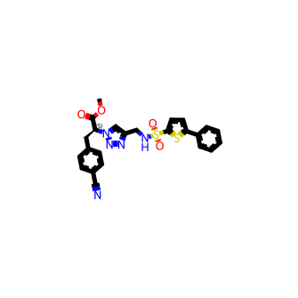 COC(=O)[C@H](Cc1ccc(C#N)cc1)n1cc(CNS(=O)(=O)c2ccc(-c3ccccc3)s2)nn1